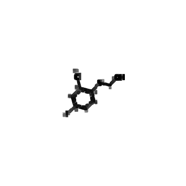 OCSc1ccc(F)cc1Cl